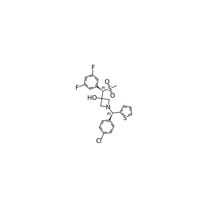 CS(=O)(=O)[C@H](c1cc(F)cc(F)c1)C1(O)CN([C@H](c2ccc(Cl)cc2)c2cccs2)C1